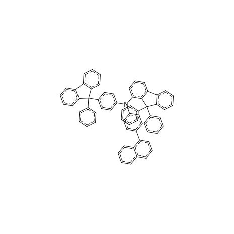 c1ccc(C2(c3ccc(N(c4ccc(-c5cccc6ccccc56)cc4)c4cccc5c4C(c4ccccc4)(c4ccccc4)c4ccccc4-5)cc3)c3ccccc3-c3ccccc32)cc1